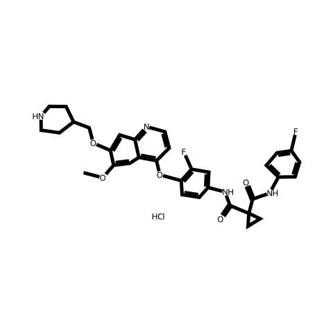 COc1cc2c(Oc3ccc(NC(=O)C4(C(=O)Nc5ccc(F)cc5)CC4)cc3F)ccnc2cc1OCC1CCNCC1.Cl